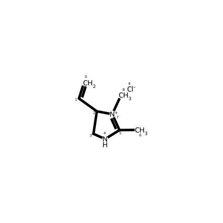 C=CC1CNC(C)=[N+]1C.[Cl-]